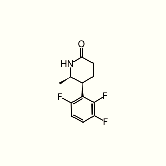 C[C@H]1NC(=O)CC[C@H]1c1c(F)ccc(F)c1F